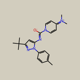 Cc1ccc(-n2nc(C(C)(C)C)cc2/N=C(\[O-])n2ccc(=[N+](C)C)cc2)cc1